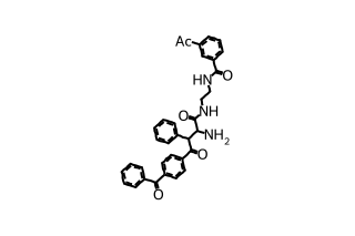 CC(=O)c1cccc(C(=O)NCCNC(=O)C(N)C(C(=O)c2ccc(C(=O)c3ccccc3)cc2)c2ccccc2)c1